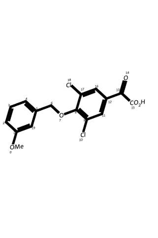 COc1cccc(COc2c(Cl)cc(C(=O)C(=O)O)cc2Cl)c1